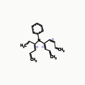 C=C/C=C\C(=C/C=C)N(/C(C=C)=C/C=C)c1ccccc1